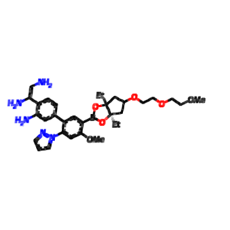 CCC12CC(OCCOCCOC)C[C@@]1(CC)OB(c1cc(-c3ccc(/C(N)=C\N)c(N)c3)c(-n3cccn3)cc1OC)O2